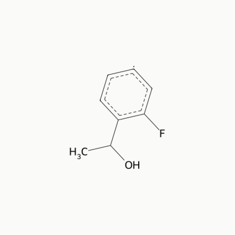 CC(O)c1cc[c]cc1F